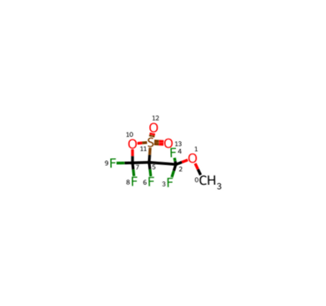 COC(F)(F)C1(F)C(F)(F)OS1(=O)=O